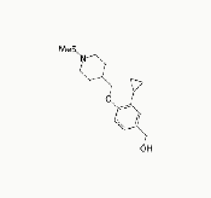 CSN1CCC(COc2ccc(CO)cc2C2CC2)CC1